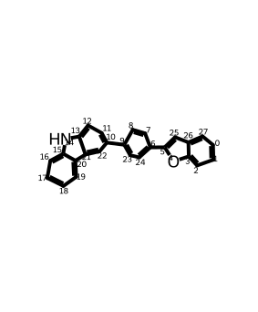 c1ccc2oc(-c3ccc(-c4ccc5[nH]c6ccccc6c5c4)cc3)cc2c1